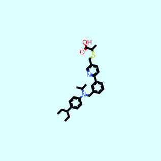 CCC(CC)c1ccc(N(Cc2cccc(-c3ccc(CSC(C)C(=O)O)cn3)c2)C(C)C)cc1